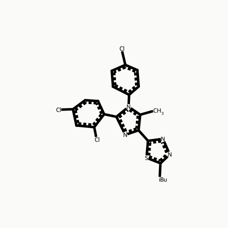 CCC(C)c1nnc(-c2nc(-c3ccc(Cl)cc3Cl)n(-c3ccc(Cl)cc3)c2C)s1